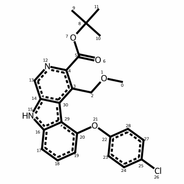 COCc1c(C(=O)OC(C)(C)C)ncc2[nH]c3cccc(Oc4ccc(Cl)cc4)c3c12